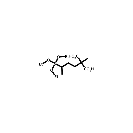 CCO[Si](OCC)(OCC)C(C)CCC(C)(C(=O)O)C(=O)O